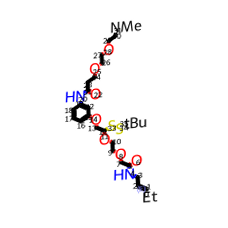 CC/C=C/CNC(=O)COCCOC(COc1cccc(NC(=O)CCOCCOCCNC)c1)SSC(C)(C)C